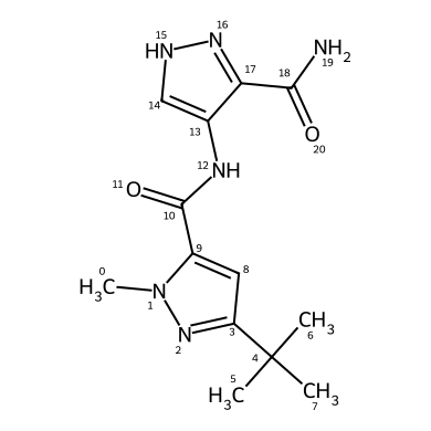 Cn1nc(C(C)(C)C)cc1C(=O)Nc1c[nH]nc1C(N)=O